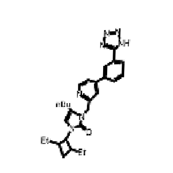 CCCCc1cn(C2C(CC)CC2CC)c(=O)n1Cc1cc(-c2cccc(-c3nnn[nH]3)c2)ccn1